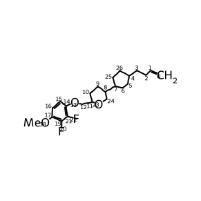 C=CCCC1CCC(C2CCC(COc3ccc(OC)c(F)c3F)OC2)CC1